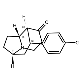 O=C1CCN2[C@H]3CC[C@@H]2[C@@H]1[C@@H](c1ccc(Cl)cc1)C3